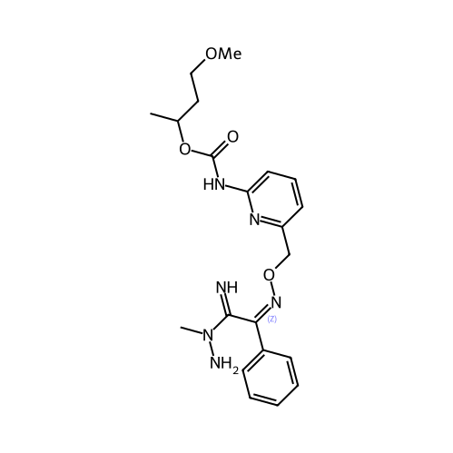 COCCC(C)OC(=O)Nc1cccc(CO/N=C(\C(=N)N(C)N)c2ccccc2)n1